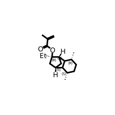 C=C(C)C(=O)O[C@]1(CC)C[C@@H]2C[C@H]1C1C2[C@@H](C)CC[C@H]1C